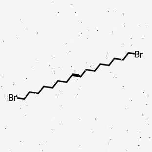 BrCCCCCCCC=CCCCCCCCBr